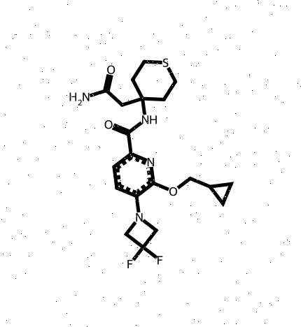 NC(=O)CC1(NC(=O)c2ccc(N3CC(F)(F)C3)c(OCC3CC3)n2)CCSCC1